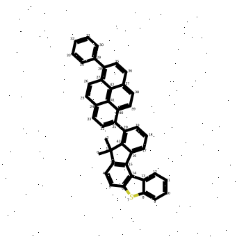 CC1(C)c2ccc3sc4ccccc4c3c2-c2cccc(-c3ccc4ccc5c(-c6ccccc6)ccc6ccc3c4c65)c21